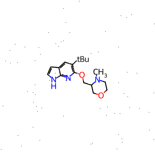 CN1CCOCC1COc1nc2[nH]ccc2cc1C(C)(C)C